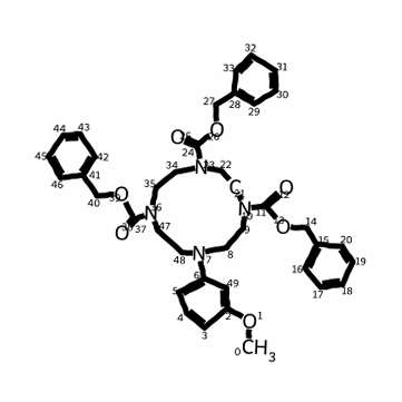 COc1cccc(N2CCN(C(=O)OCc3ccccc3)CCN(C(=O)OCc3ccccc3)CCN(C(=O)OCc3ccccc3)CC2)c1